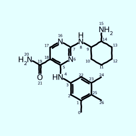 Cc1cc(Nc2nc(NC3CCCCC3N)ncc2C(N)=O)cc(C)c1C